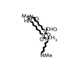 CNCCCCCCN(C)C(=O)N(CCCCCCNC=O)C(=O)N(C=O)CCCCCCNC